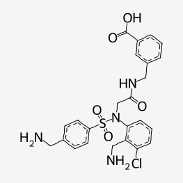 NCc1ccc(S(=O)(=O)N(CC(=O)NCc2cccc(C(=O)O)c2)c2cccc(Cl)c2CN)cc1